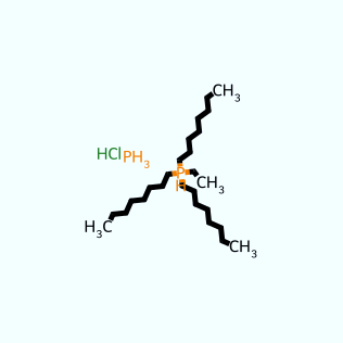 CCCCCCCC[PH](CC)(CCCCCCCC)CCCCCCCC.Cl.P